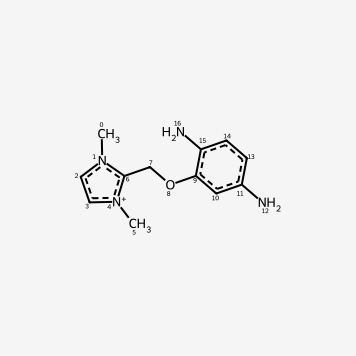 Cn1cc[n+](C)c1COc1cc(N)ccc1N